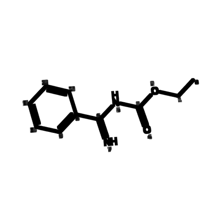 CCOC(=O)NC(=N)c1ccccc1